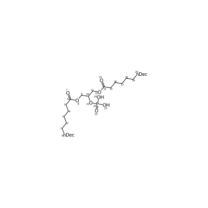 CCCCCCCCCCCCCCCC(=O)OCC(COC(=O)CCCCCCCCCCCCCCC)OP(=O)(O)O